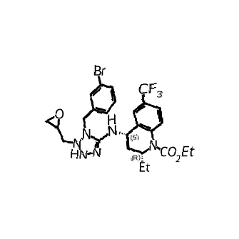 CCOC(=O)N1c2ccc(C(F)(F)F)cc2[C@@H](NC2=NNN(CC3CO3)N2Cc2cccc(Br)c2)C[C@H]1CC